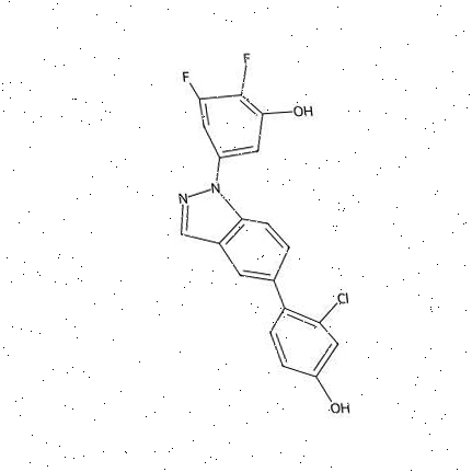 Oc1ccc(-c2ccc3c(cnn3-c3cc(O)c(F)c(F)c3)c2)c(Cl)c1